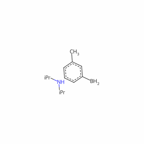 Bc1cccc(C)c1.CC(C)NC(C)C